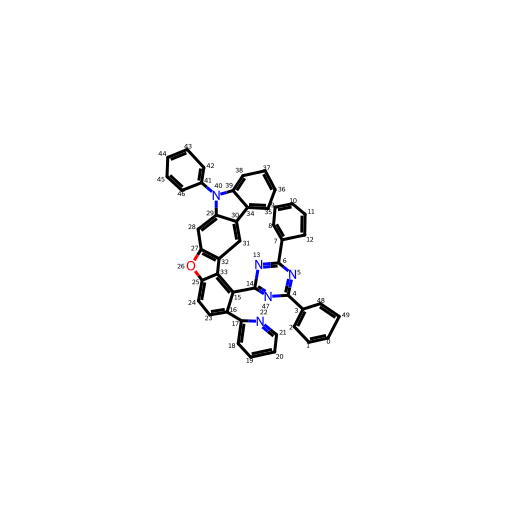 c1ccc(-c2nc(-c3ccccc3)nc(-c3c(-c4ccccn4)ccc4oc5cc6c(cc5c34)c3ccccc3n6-c3ccccc3)n2)cc1